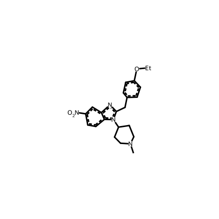 CCOc1ccc(Cc2nc3cc([N+](=O)[O-])ccc3n2C2CCN(C)CC2)cc1